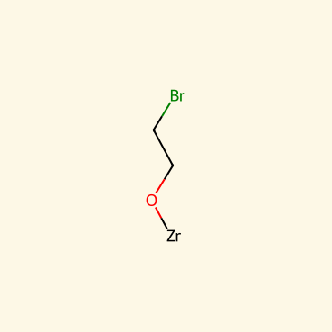 BrCC[O][Zr]